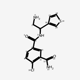 NCC(NC(=O)c1ccc(Cl)c(C(N)=O)c1)c1ccsc1